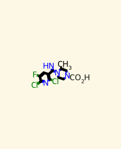 C[C@H]1CN(C(=O)O)CCN1C(=N)c1cc(F)c(Cl)nc1Cl